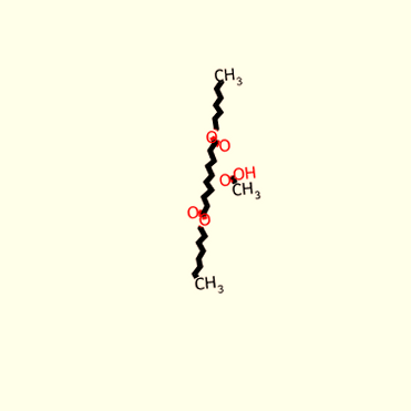 CC(=O)O.CCCCCCCCOC(=O)CCCCCCCCC(=O)OCCCCCCCC